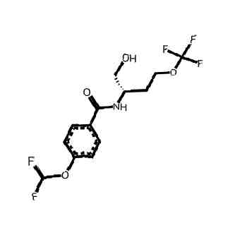 O=C(N[C@H](CO)CCOC(F)(F)F)c1ccc(OC(F)F)cc1